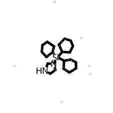 C1CCC([Si](C2CCCCC2)(C2CCCCC2)N2CCNC2)CC1